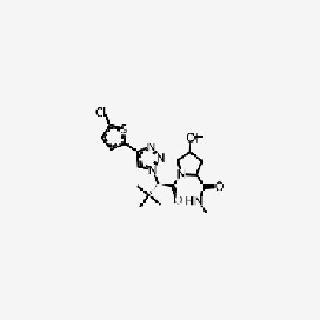 CNC(=O)C1CC(O)CN1C(=O)[C@@H](n1cc(-c2ccc(Cl)s2)nn1)C(C)(C)C